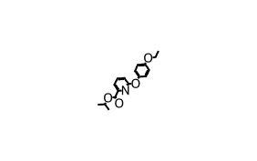 CCOc1ccc(Oc2cccc(C(=O)OC(C)C)n2)cc1